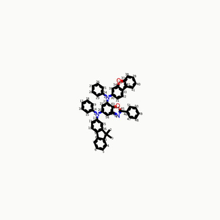 CC1(C)c2ccccc2-c2ccc(N(c3ccccc3)c3cc(N(c4ccccc4)c4ccc5c(c4)oc4ccccc45)c4oc(-c5ccccc5)nc4c3)cc21